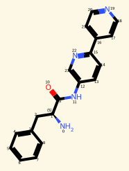 N[C@@H](Cc1ccccc1)C(=O)Nc1ccc(-c2ccncc2)nc1